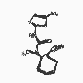 COc1ccccc1N(C)C(=O)Nc1ncc([N+](=O)[O-])s1